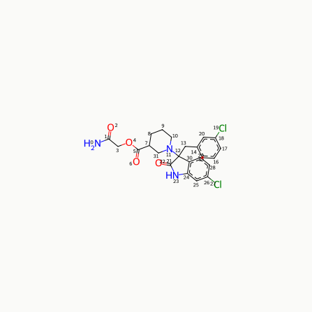 NC(=O)COC(=O)C1CCCN(C2(Cc3cccc(Cl)c3)C(=O)Nc3cc(Cl)ccc32)C1